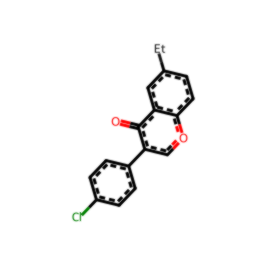 CCc1ccc2occ(-c3ccc(Cl)cc3)c(=O)c2c1